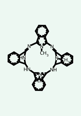 CN1/C2=N\c3c4ccccc4c(n3C)/N=C3\NC(Nc4c5ccccc5c(n4C)NC1c1ccccc12)c1ccccc13